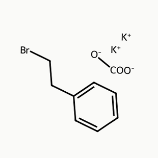 BrCCc1ccccc1.O=C([O-])[O-].[K+].[K+]